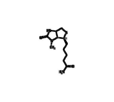 CN1C(=O)NC2CS[C@@H](CCCCC(N)=O)C21